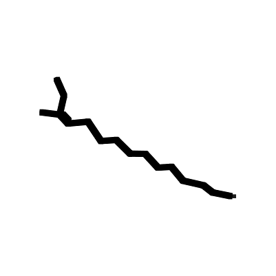 [CH2]CCCCCCCCCCC=C(C)CC